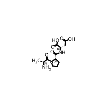 C[C@H](N)C(=O)N1CCC[C@H]1C(=O)N[C@@H](CC(=O)O)C(=O)O